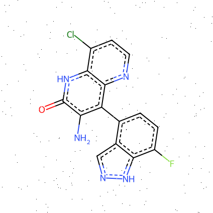 Nc1c(-c2ccc(F)c3[nH]ncc23)c2nccc(Cl)c2[nH]c1=O